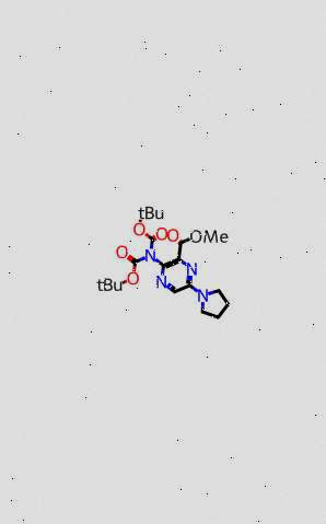 COC(=O)c1nc(N2CCCC2)cnc1N(C(=O)OC(C)(C)C)C(=O)OC(C)(C)C